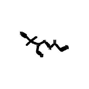 CC(C)(C#N)N(C=O)N=NNC=O